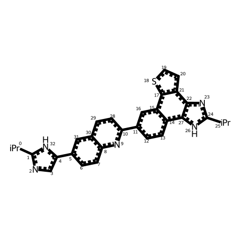 CC(C)c1ncc(-c2ccc3nc(-c4ccc5c(c4)c4sccc4c4nc(C(C)C)[nH]c54)ccc3c2)[nH]1